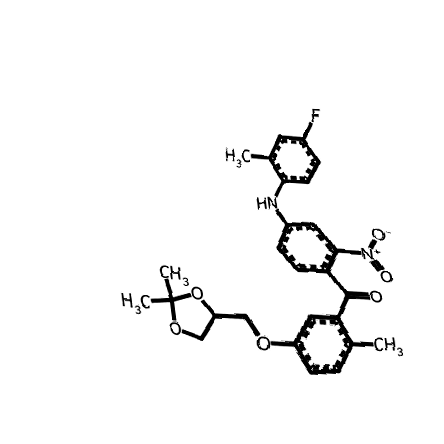 Cc1cc(F)ccc1Nc1ccc(C(=O)c2cc(OCC3COC(C)(C)O3)ccc2C)c([N+](=O)[O-])c1